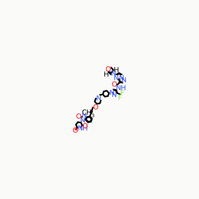 Cn1c(=O)n([C@H]2CCC(=O)NC2=O)c2cccc(C#CCOC3CCN(CC4CCC(n5cc(NC(=O)c6cnn7ccc(N8C[C@H]9C[C@@H]8CO9)nc67)c(C(F)F)n5)CC4)CC3)c21